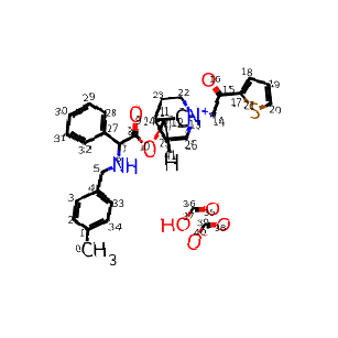 Cc1ccc(CNC(C(=O)O[C@H]2C[N+]3(CC(=O)c4cccs4)CCC2CC3)c2ccccc2)cc1.O=CO.O=C[O-]